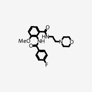 COc1cccc(C(=O)NCCN2CCOCC2)c1NC(=O)c1ccc(F)cc1